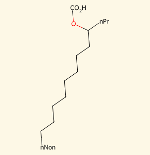 CCCCCCCCCCCCCCCCCC(CCC)OC(=O)O